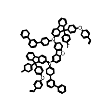 C=CC1=CCC(OC2=CCC(C3(c4ccc(F)cc4)C4C=CC=CC4C4C=CC(N(C5=CC6=C(CC5)OC5C=CC(N(C7=CC8C(C=C7)C7C=CC=CC7C8(C7=CCC(C)CC7)C7C=CC(OC8=CCC(C=C)C=C8)=CC7)C7=CCC(c8cccc(-c9ccccc9)c8)CC7)=CC65)C5C=CC(c6cccc(C7=CC=CCC7)c6)=CC5)=CC43)C=C2)C=C1